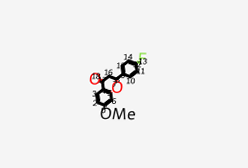 COc1ccc2c(c1)OC(c1ccc(F)cc1)CC2=O